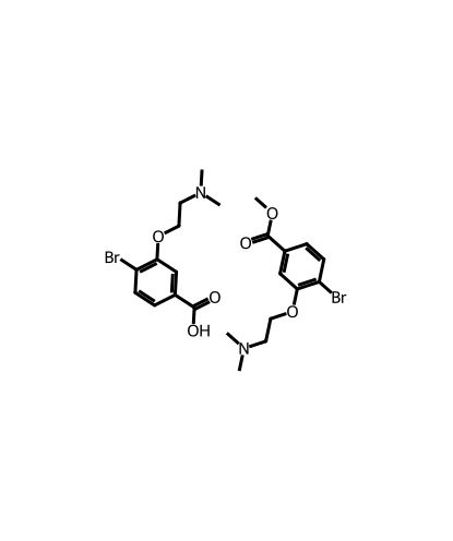 CN(C)CCOc1cc(C(=O)O)ccc1Br.COC(=O)c1ccc(Br)c(OCCN(C)C)c1